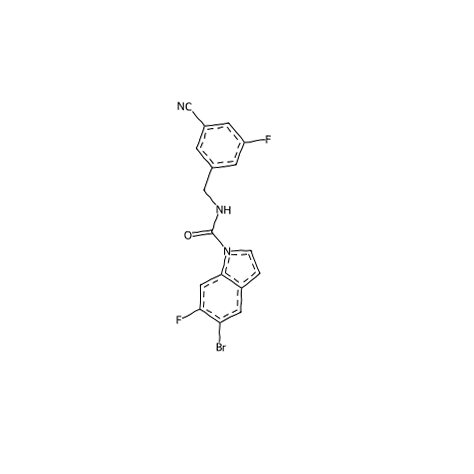 N#Cc1cc(F)cc(CNC(=O)n2ccc3cc(Br)c(F)cc32)c1